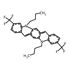 CCCCN1c2cc(C(F)(F)F)ccc2C=c2cc3c(cc21)=Cc1ccc(C(F)(F)F)cc1N3CCCC